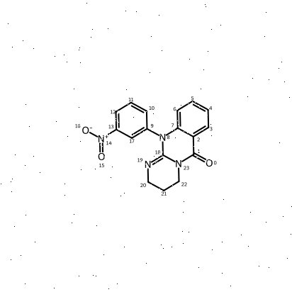 O=C1c2ccccc2N(c2cccc([N+](=O)[O-])c2)C2=NCCCN12